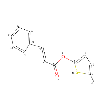 Cc1ccc(OC(=O)/C=C/c2ccccc2)s1